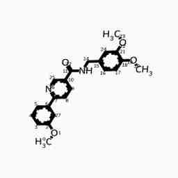 COc1cccc(-c2ccc(C(=O)NCc3ccc(OC)c(OC)c3)cn2)c1